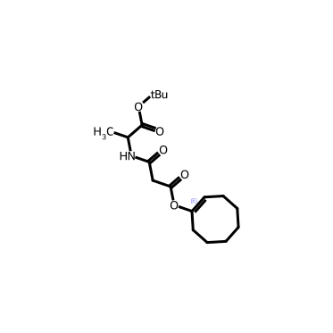 CC(NC(=O)CC(=O)O/C1=C/CCCCCC1)C(=O)OC(C)(C)C